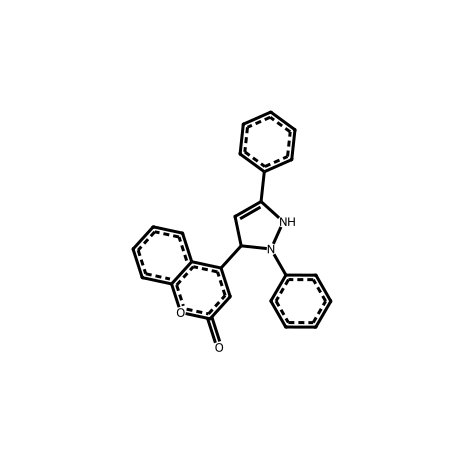 O=c1cc(C2C=C(c3ccccc3)NN2c2ccccc2)c2ccccc2o1